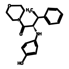 C[C@@H](c1ccccc1)[C@H](Nc1ccc(O)cc1)C(=O)N1CCOCC1